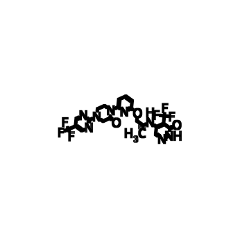 C[C@@H](COc1cccc(N2CCN(c3ncc(C(F)(F)F)cn3)CC2=O)n1)Nc1cn[nH]c(=O)c1C(F)(F)F